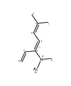 C=C/C(=C\C=C(C)C)N(C)C(C)=O